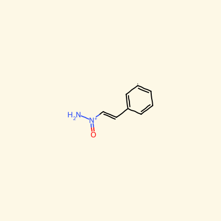 N[N+](=O)C=Cc1c[c]ccc1